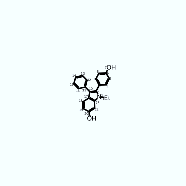 CCn1c(-c2ccc(O)cc2)c(-c2ccccc2)c2ccc(O)cc21